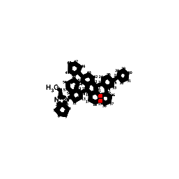 CCc1nc2ccccc2n1-c1ccc(-c2c3ccccc3c(-c3ccc(-c4ccccc4)cc3-c3ccccc3)c3ccc(-c4ccccc4)cc23)c2ccccc12